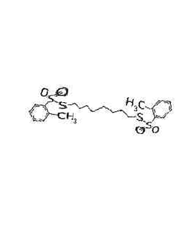 Cc1ccccc1S(=O)(=O)SCCCCCCCCSS(=O)(=O)c1ccccc1C